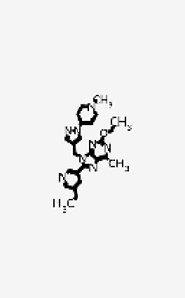 CCOc1nc(C)c2nc(-c3cncc(CC)c3)n(Cc3cnn(C4CCN(C)CC4)c3)c2n1